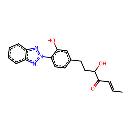 CC=CC(=O)C(O)CCc1ccc(-n2nc3ccccc3n2)c(O)c1